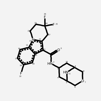 O=C(NC1CC2COCC(C1)N2)c1c2n(c3ccc(F)cc13)CCC(F)(F)C2